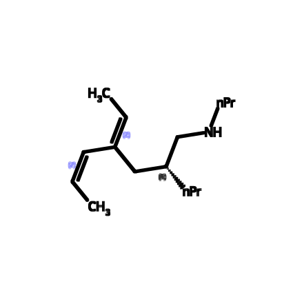 C/C=C\C(=C/C)C[C@@H](CCC)CNCCC